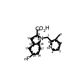 Cc1cccnc1Cn1c(C(=O)O)cc2cc(F)ccc21